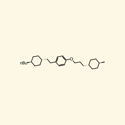 CCCC[C@H]1CC[C@H](CCc2ccc(OCCC[C@H]3CC[C@H](C)CC3)cc2)CC1